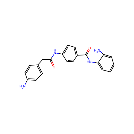 Nc1ccc(CC(=O)Nc2ccc(C(=O)Nc3ccccc3N)cc2)cc1